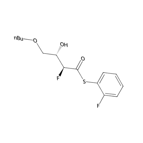 CCCCOC[C@H](O)[C@H](F)C(=O)Sc1ccccc1F